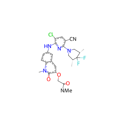 CNC(=O)COc1cc2cc(Nc3nc(N4C[C@@H](C)C(F)(F)[C@@H](C)C4)c(C#N)cc3Cl)ccc2n(C)c1=O